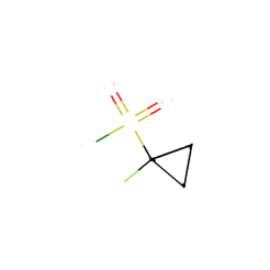 O=S(=O)(Cl)C1(F)CC1